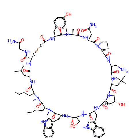 CCCC[C@H]1C(=O)N(C)[C@@H](CCCC)C(=O)N[C@@H](CC(C)C)C(=O)N[C@H](C(=O)NCC(N)=O)CSCC(=O)N[C@@H](Cc2ccc(O)cc2)C(=O)N(C)[C@@H](C)C(=O)N[C@@H](CC(N)=O)C(=O)N2CCC[C@H]2C(=O)N[C@@H](CN)C(=O)N[C@@H](CC(C)(C)C)C(=O)N2C[C@H](O)C[C@H]2C(=O)N[C@@H](Cc2c[nH]c3ccccc23)C(=O)N[C@@H](CO)C(=O)N[C@@H](Cc2c[nH]c3ccccc23)C(=O)N1C